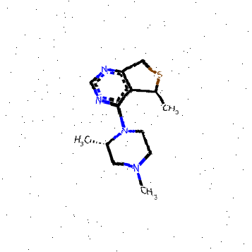 CC1SCc2ncnc(N3CCN(C)C[C@@H]3C)c21